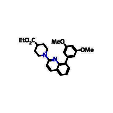 CCOC(=O)C1CCN(c2ccc3cccc(-c4cc(OC)cc(OC)c4)c3n2)CC1